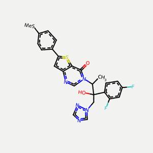 CSc1ccc(-c2cc3ncn(C(C)C(O)(Cn4cncn4)c4ccc(F)cc4F)c(=O)c3s2)cc1